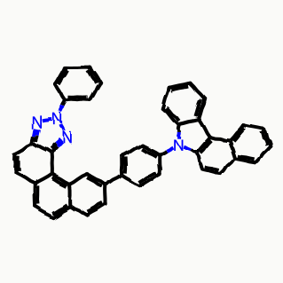 c1ccc(-n2nc3ccc4ccc5ccc(-c6ccc(-n7c8ccccc8c8c9ccccc9ccc87)cc6)cc5c4c3n2)cc1